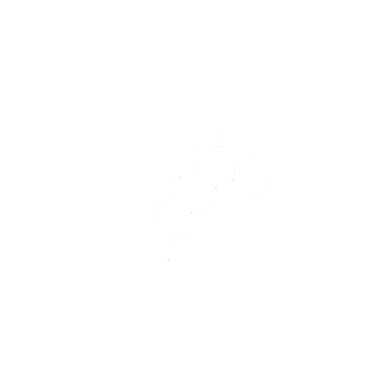 O=c1oc(=O)n(Cc2cccc(Br)c2)c2ccccc12